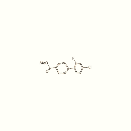 COC(=O)c1ccc(-c2ccc(Cl)cc2F)cc1